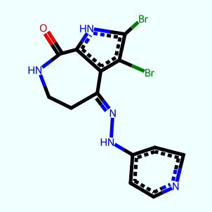 O=C1NCC/C(=N\Nc2ccncc2)c2c1[nH]c(Br)c2Br